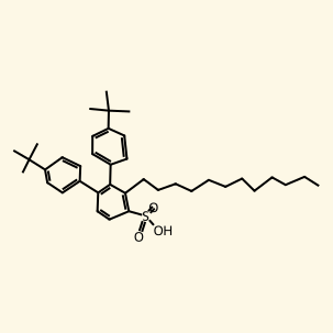 CCCCCCCCCCCCc1c(S(=O)(=O)O)ccc(-c2ccc(C(C)(C)C)cc2)c1-c1ccc(C(C)(C)C)cc1